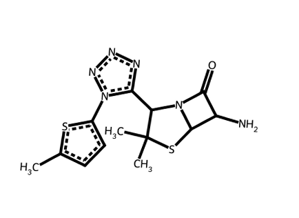 Cc1ccc(-n2nnnc2C2N3C(=O)C(N)C3SC2(C)C)s1